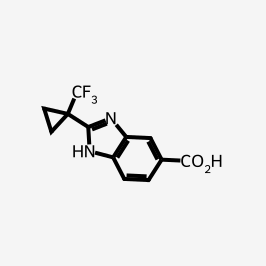 O=C(O)c1ccc2[nH]c(C3(C(F)(F)F)CC3)nc2c1